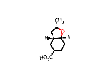 C[C@H]1C[C@H]2CC(C(=O)O)CC[C@H]2O1